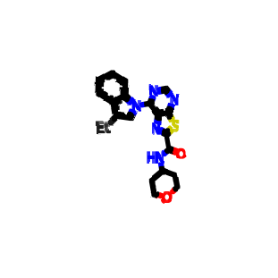 CCc1cn(-c2ncnc3sc(C(=O)NC4CCOCC4)nc23)c2ccccc12